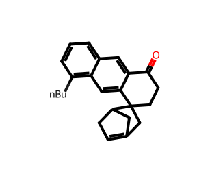 CCCCc1cccc2cc3c(cc12)C1(CCC3=O)CC2=CCC1C2